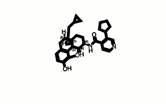 O=C(N[C@@H]1CC[C@@]2(O)[C@H]3Cc4ccc(O)c5c4[C@@]2(CCN3CC2CC2)[C@H]1O5)c1ccncc1C1CCCC1